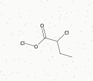 CCC(Cl)C(=O)OCl